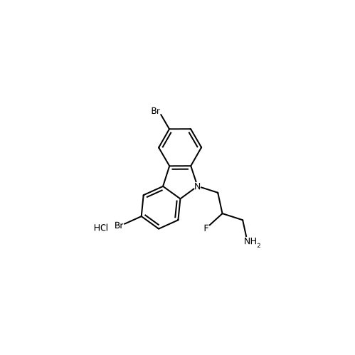 Cl.NCC(F)Cn1c2ccc(Br)cc2c2cc(Br)ccc21